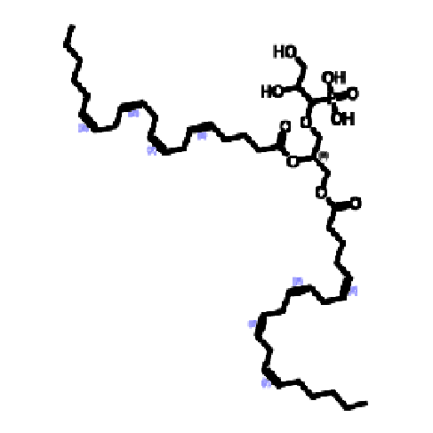 CCCCC/C=C\C/C=C\C/C=C\C/C=C\CCCC(=O)OC[C@H](COC(C(O)CO)P(=O)(O)O)OC(=O)CCC/C=C\C/C=C\C/C=C\C/C=C\CCCCC